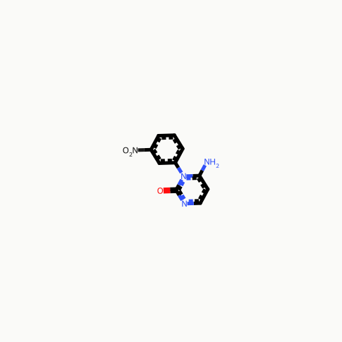 Nc1ccnc(=O)n1-c1cccc([N+](=O)[O-])c1